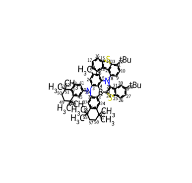 Cc1cc2c3c(c1)N(c1ccc(C(C)(C)C)c4sc5ccccc5c14)c1c(sc4ccc(C(C)(C)C)cc14)B3c1cc3c(cc1N2c1ccc2c(c1)C(C)(C)CCC2(C)C)C(C)(C)CCC3(C)C